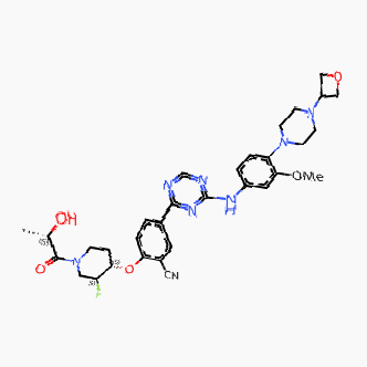 COc1cc(Nc2ncnc(-c3ccc(O[C@H]4CCN(C(=O)[C@H](C)O)C[C@@H]4F)c(C#N)c3)n2)ccc1N1CCN(C2COC2)CC1